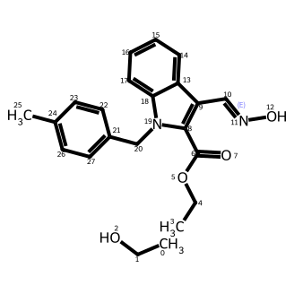 CCO.CCOC(=O)c1c(/C=N/O)c2ccccc2n1Cc1ccc(C)cc1